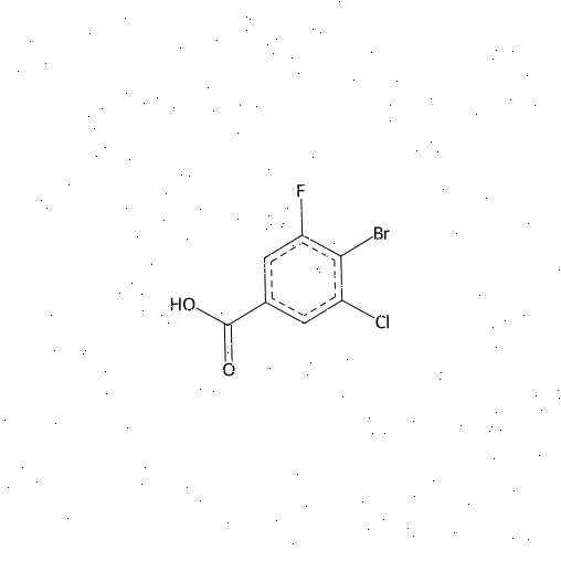 O=C(O)c1cc(F)c(Br)c(Cl)c1